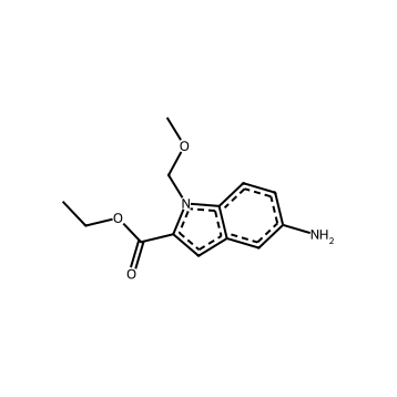 CCOC(=O)c1cc2cc(N)ccc2n1COC